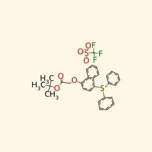 CC(C)(C)OC(=O)COc1ccc([S+](c2ccccc2)c2ccccc2)c2ccccc12.O=S(=O)([O-])C(F)(F)F